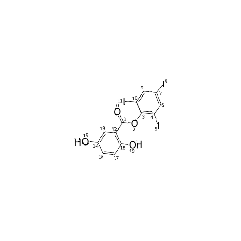 O=C(Oc1c(I)cc(I)cc1I)c1cc(O)ccc1O